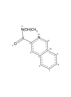 CN(O)C(=O)c1cc2ccccc2cn1